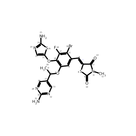 CC(Oc1cc(/C=C2\SC(=O)N(C)C2=O)c(Br)c(F)c1Oc1cnc(N)s1)c1cnc(N)nc1